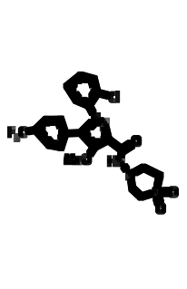 COc1c(C(=O)NN2CCS(=O)(=O)CC2)nn(-c2ccccc2Cl)c1-c1ccc(C(F)(F)F)cc1